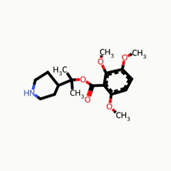 COc1ccc(OC)c(C(=O)OC(C)(C)C2CCNCC2)c1OC